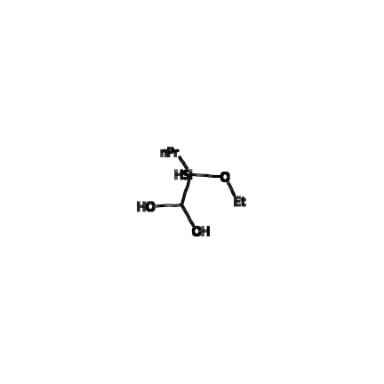 CCC[SiH](OCC)C(O)O